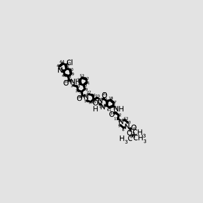 CC(C)(C)OC(=O)N1CCN(CCC(=O)Nc2ccc3c(=O)n(CC4(O)CCN(C(=O)C(CCCNC(=O)c5ccc6c(Cl)ccnc6c5)Cc5ccccc5)CC4)cnc3c2)CC1